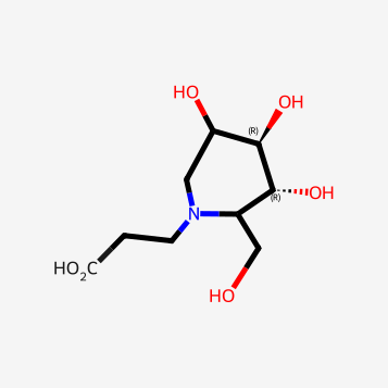 O=C(O)CCN1CC(O)[C@@H](O)[C@H](O)C1CO